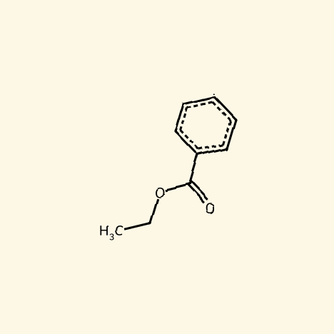 CCOC(=O)c1cc[c]cc1